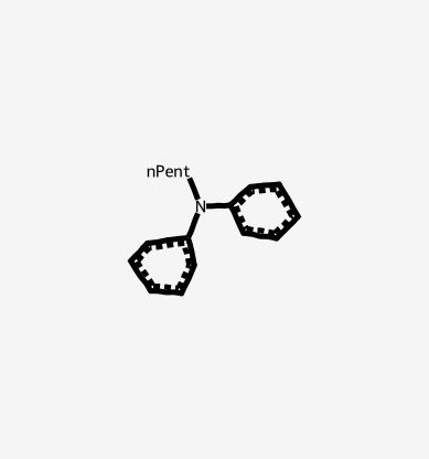 [CH2]CCCCN(c1ccccc1)c1ccccc1